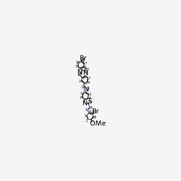 COc1ccc(/C=C/c2nc3ccc(/N=C/c4ccc5c(c4)CN4CN5Cc5cc(Br)ccc54)cc3s2)c(Br)c1